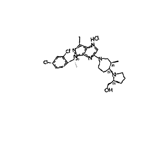 Cc1nn([C@H](C)c2ccc(Cl)cc2Cl)c2nc(N3CC[C@H](N4CCC[C@H]4CO)[C@H](C)C3)cnc12.Cl